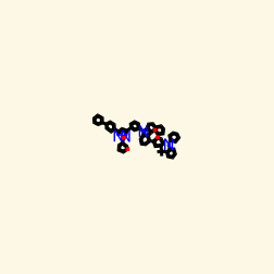 CC1(C)c2ccccc2N(c2ccccc2)c2ccc(-c3cccc4c3c3c5ccccc5ccc3n4-c3cccc(-c4cc(-c5ccc(-c6ccccc6)cc5)nc(-c5ccccc5)n4)c3)cc21